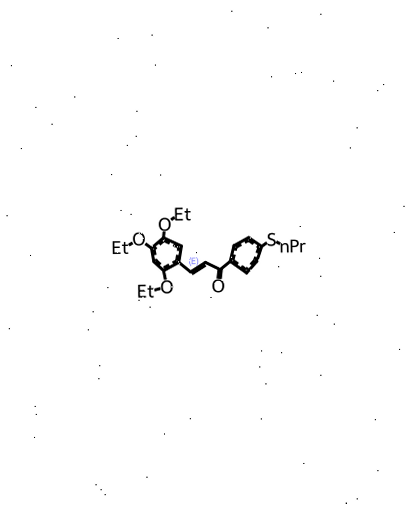 CCCSc1ccc(C(=O)/C=C/c2cc(OCC)c(OCC)cc2OCC)cc1